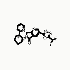 O=C1c2cc(-c3nnc(C(F)F)o3)cnc2CN1[C@@H]1CCCC[C@H]1c1ccccn1